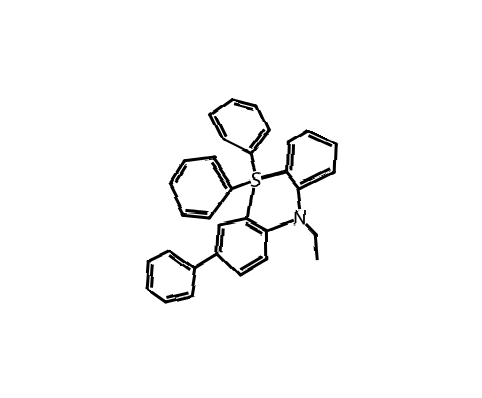 CCN1c2ccccc2S(c2ccccc2)(c2ccccc2)c2cc(-c3ccccc3)ccc21